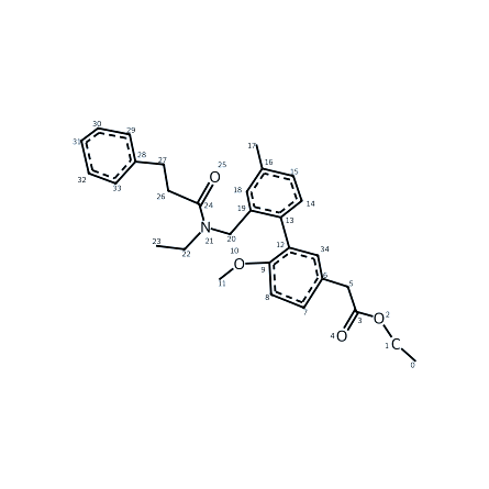 CCOC(=O)Cc1ccc(OC)c(-c2ccc(C)cc2CN(CC)C(=O)CCc2ccccc2)c1